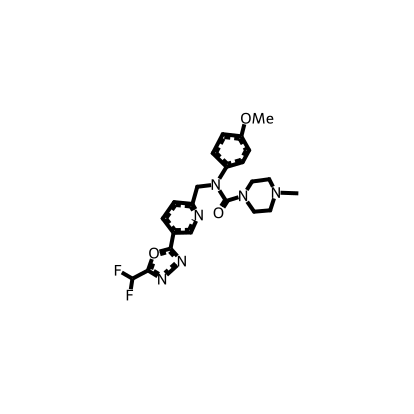 COc1ccc(N(Cc2ccc(-c3nnc(C(F)F)o3)cn2)C(=O)N2CCN(C)CC2)cc1